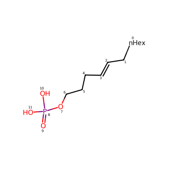 CCCCCCCC=CCCCOP(=O)(O)O